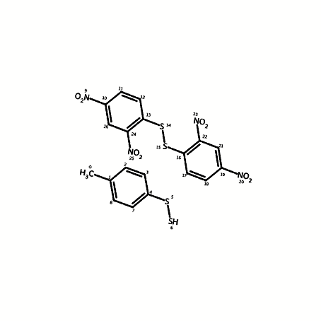 Cc1ccc(SS)cc1.O=[N+]([O-])c1ccc(SSc2ccc([N+](=O)[O-])cc2[N+](=O)[O-])c([N+](=O)[O-])c1